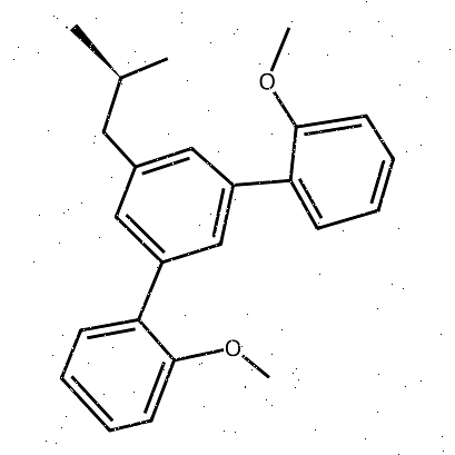 [CH2][C@@H](C)Cc1cc(-c2ccccc2OC)cc(-c2ccccc2OC)c1